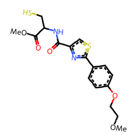 COCCOc1ccc(-c2nc(C(=O)NC(CS)C(=O)OC)cs2)cc1